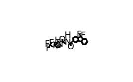 O=C(NCC(=O)N1CC[C@]2(CC(F)(F)F)C[C@H]12)c1ccc2c(c1)-c1ccccc1C2(F)F